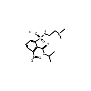 CC(C)OC(=O)c1c([N+](=O)[O-])cccc1S(=O)(=O)NCCN(C)C.Cl